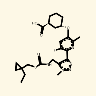 CCC1(COC(=O)NCc2c(-c3nc(C)c(O[C@H]4CCC[C@H](C(=O)O)C4)cc3F)nnn2C)CC1